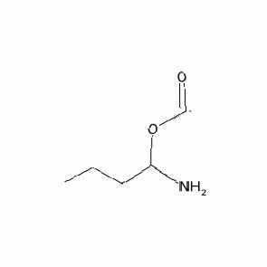 CCCC(N)O[C]=O